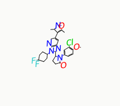 COc1ccc(N2C(=O)CCC2c2nc3cc(-c4c(C)noc4C)cnc3n2C2CCC(F)(F)CC2)cc1Cl